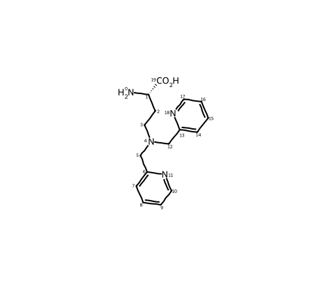 N[C@@H](CCN(Cc1ccccn1)Cc1ccccn1)C(=O)O